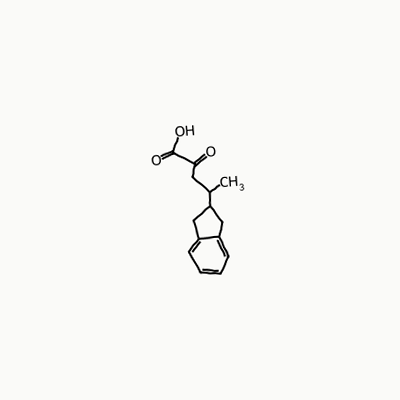 CC(CC(=O)C(=O)O)C1Cc2ccccc2C1